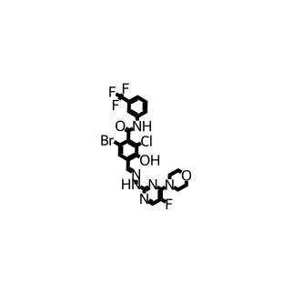 O=C(Nc1cccc(C(F)(F)F)c1)c1c(Br)cc(/C=N/Nc2ncc(F)c(N3CCOCC3)n2)c(O)c1Cl